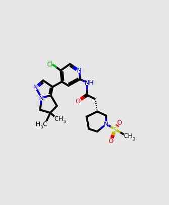 CC1(C)Cc2c(-c3cc(NC(=O)C[C@H]4CCCN(S(C)(=O)=O)C4)ncc3Cl)cnn2C1